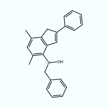 Cc1cc(C)c(N(O)Cc2ccccc2)c2c1CC(c1ccccc1)=C2